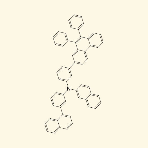 c1ccc(-c2c(-c3ccccc3)c3cc(-c4cccc(N(c5cccc(-c6cccc7ccccc67)c5)c5ccc6ccccc6c5)c4)ccc3c3ccccc23)cc1